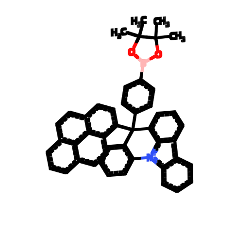 CC1(C)OB(c2ccc(C3(c4ccc5ccc6cccc7ccc4c5c67)c4ccccc4-n4c5ccccc5c5cccc3c54)cc2)OC1(C)C